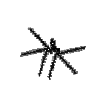 CCCCCCCCCCCCCCCCCCc1cc(Nc2nc(Nc3cc(CCCCCCCCCCCCCCCCCC)c(CCCCCCCCCCCCCCCCCC)c(CCCCCCCCCCCCCCCCCC)c3)nc(-c3ccc(CC)cc3)n2)cc(CCCCCCCCCCCCCCCCCC)c1CCCCCCCCCCCCCCCCCC